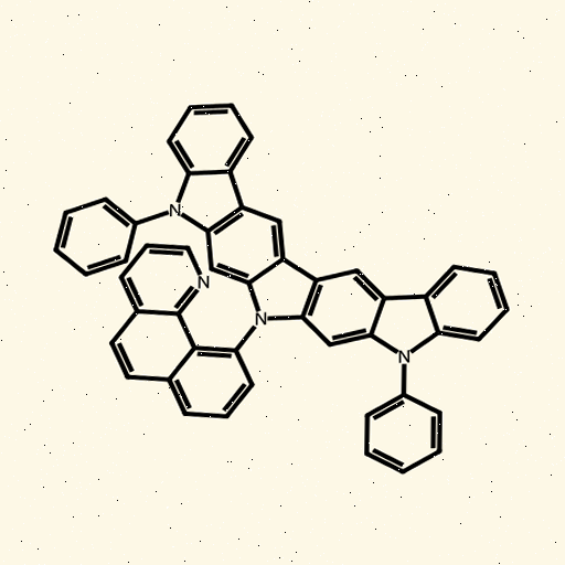 c1ccc(-n2c3ccccc3c3cc4c5cc6c7ccccc7n(-c7ccccc7)c6cc5n(-c5cccc6ccc7cccnc7c56)c4cc32)cc1